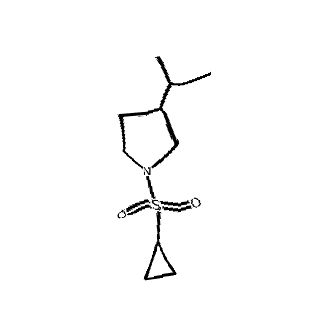 CC(C)C1CCN(S(=O)(=O)C2CC2)C1